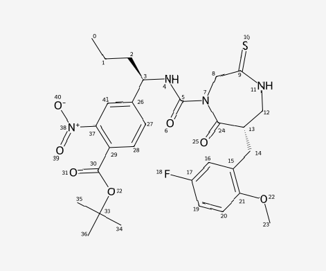 CCC[C@@H](NC(=O)N1CC(=S)NC[C@H](Cc2cc(F)ccc2OC)C1=O)c1ccc(C(=O)OC(C)(C)C)c([N+](=O)[O-])c1